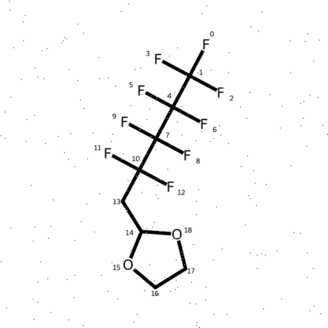 FC(F)(F)C(F)(F)C(F)(F)C(F)(F)CC1OCCO1